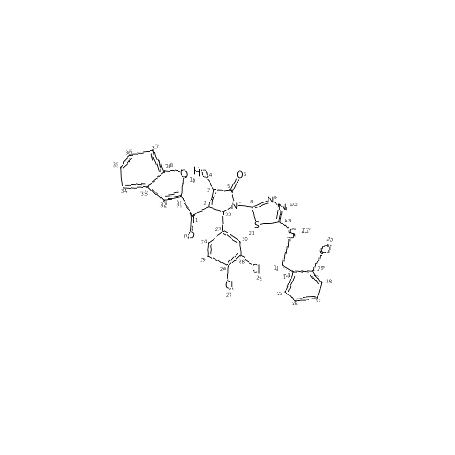 O=C(C1=C(O)C(=O)N(c2nnc(SCc3ccccc3Cl)s2)C1c1ccc(Cl)c(Cl)c1)c1cc2ccccc2o1